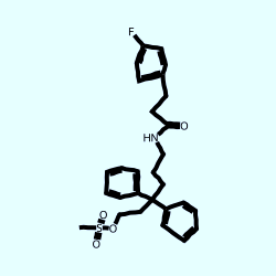 CS(=O)(=O)OCCC(CCCNC(=O)CCc1ccc(F)cc1)(c1ccccc1)c1ccccc1